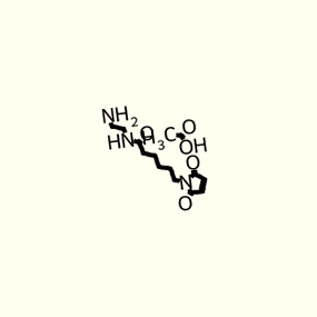 CC(=O)O.NCCNC(=O)CCCCCN1C(=O)C=CC1=O